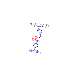 CCOC(=O)CC(C(=O)OCC)N1CCN(CC2CN(c3ccc(C(=N)N)cc3)C(=O)O2)CC1